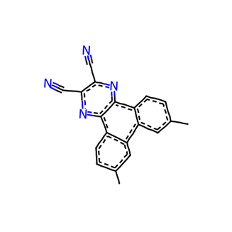 Cc1ccc2c(c1)c1cc(C)ccc1c1nc(C#N)c(C#N)nc21